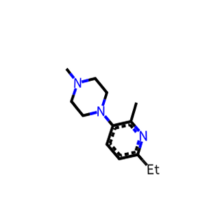 CCc1ccc(N2CCN(C)CC2)c(C)n1